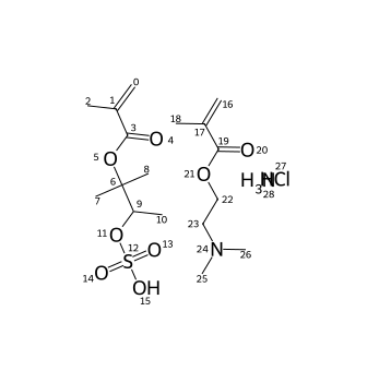 C=C(C)C(=O)OC(C)(C)C(C)OS(=O)(=O)O.C=C(C)C(=O)OCCN(C)C.Cl.N